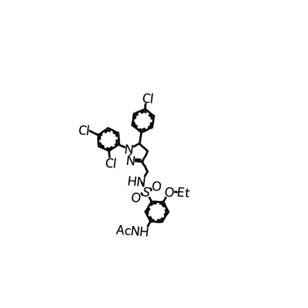 CCOc1ccc(NC(C)=O)cc1S(=O)(=O)NCC1=NN(c2ccc(Cl)cc2Cl)C(c2ccc(Cl)cc2)C1